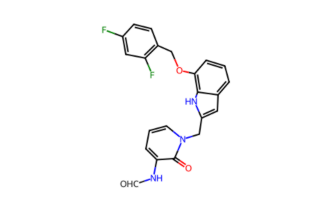 O=CNc1cccn(Cc2cc3cccc(OCc4ccc(F)cc4F)c3[nH]2)c1=O